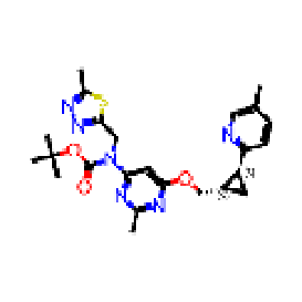 Cc1ccc([C@H]2C[C@@H]2COc2cc(N(Cc3nnc(C)s3)C(=O)OC(C)(C)C)nc(C)n2)nc1